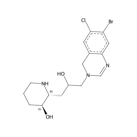 OC(C[C@H]1NCCC[C@@H]1O)CN1C=Nc2cc(Br)c(Cl)cc2C1